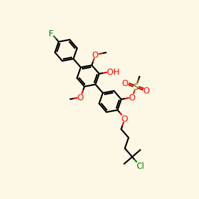 COc1cc(-c2ccc(F)cc2)c(OC)c(O)c1-c1ccc(OCCCC(C)(C)Cl)c(OS(C)(=O)=O)c1